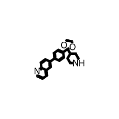 c1cnc2ccc(-c3ccc(C4(C5CCNCC5)OCCO4)cc3)cc2c1